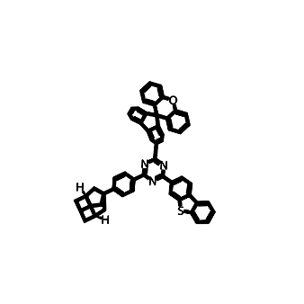 c1ccc2c(c1)Oc1ccccc1C21c2ccccc2-c2cc(-c3nc(-c4ccc(C56C[C@H]7CC8C[C@@H](C5)C87C6)cc4)nc(-c4ccc5c(c4)sc4ccccc45)n3)ccc21